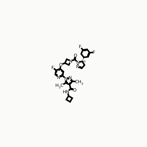 Cc1nn(-c2cc(OC3CN(C(=O)N4N=CC[C@H]4C4C=C(F)C=C(F)C4)C3)c(F)cn2)c(C)c1C(=O)NC1CCC1